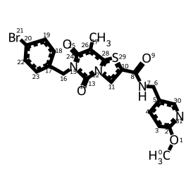 COc1ccc(CNC(=O)c2cn3c(=O)n(Cc4ccc(Br)cc4)c(=O)c(C)c3s2)cn1